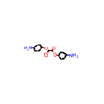 Nc1ccc(OC(=O)C(=O)Oc2ccc(N)cc2)cc1